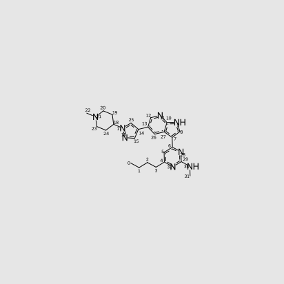 CCCCc1cc(-c2c[nH]c3ncc(-c4cnn(C5CCN(C)CC5)c4)cc23)nc(NC)n1